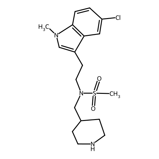 Cn1cc(CCN(CC2CCNCC2)S(C)(=O)=O)c2cc(Cl)ccc21